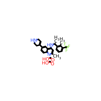 Cc1cc(N[C@H](C)c2cccc(C(F)(F)F)c2C)c2cc(C3=CCNCC3)ccc2n1.O=CO.O=CO